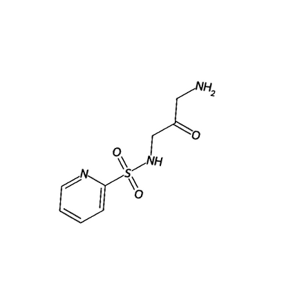 NCC(=O)CNS(=O)(=O)c1ccccn1